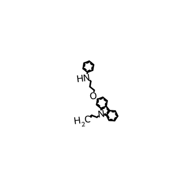 C=CCn1c2ccccc2c2ccc(OCCCNc3ccccc3)cc21